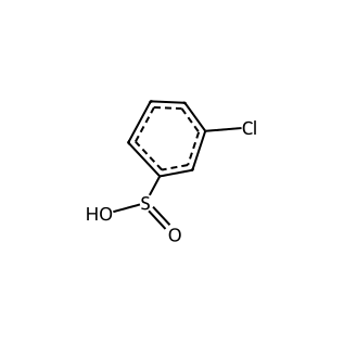 O=S(O)c1cccc(Cl)c1